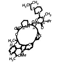 CCn1c(-c2cccnc2[C@H](C)OC)c2c3cc(ccc31)-c1csc(n1)C[C@H](NC(=O)[C@H](C(C)C)N(C)C(=O)N1CCC[C@@H](CN(C)C)C1)C(=O)N1CCC[C@@](O)(N1)C(=O)OCC(C)(C)C2